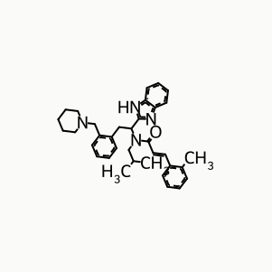 Cc1ccccc1C=CC(=O)N(CC(C)C)C(Cc1ccccc1CN1CCCCC1)c1nc2ccccc2[nH]1